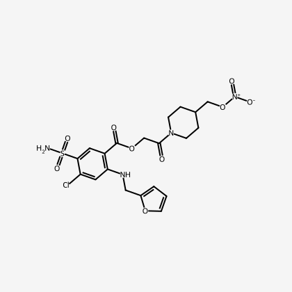 NS(=O)(=O)c1cc(C(=O)OCC(=O)N2CCC(CO[N+](=O)[O-])CC2)c(NCc2ccco2)cc1Cl